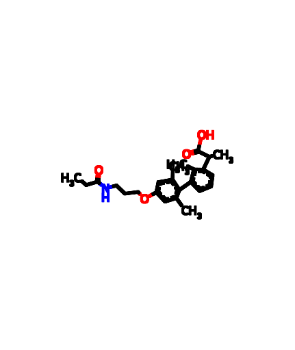 CCC(=O)NCCCOc1cc(C)c(-c2cccc(C(C)C(=O)O)c2C)c(C)c1